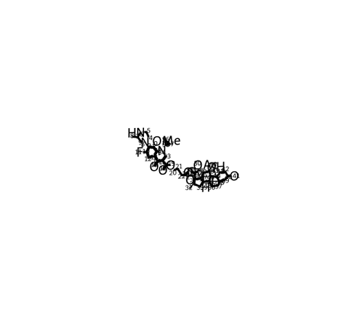 COc1c(N2CCNC(C)C2)c(F)cc2c(=O)c(C(=O)OCCCC(=O)O[C@@]3(C(=O)COC(C)=O)[C@H](C)C[C@@H]4[C@H]5CCC6=CC(=O)C=C[C@@]6(C)[C@]5(F)[C@H](O)C[C@]43C)cn(C3CC3)c12